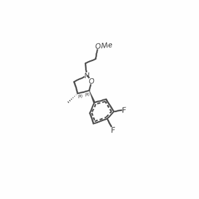 COCCN1C[C@@H](C)[C@H](c2ccc(F)c(F)c2)O1